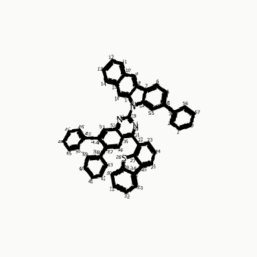 c1ccc(-c2ccc3c4cc5ccccc5cc4n(-c4nc(-c5cccc6c5sc5ccccc56)c5cc(-c6ccccc6)c(-c6ccccc6)cc5n4)c3c2)cc1